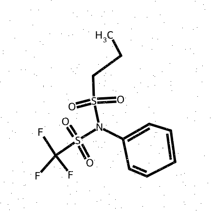 CCCS(=O)(=O)N(c1ccccc1)S(=O)(=O)C(F)(F)F